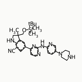 CC1(CO[Si](C)(C)C(C)(C)C)CNc2c(C#N)cc(-c3ccnc(Nc4ccc(N5CCNCC5)cn4)n3)cc21